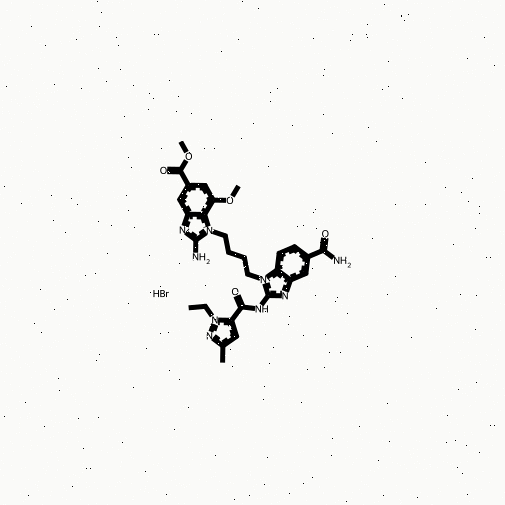 Br.CCn1nc(C)cc1C(=O)Nc1nc2cc(C(N)=O)ccc2n1CCCCn1c(N)nc2cc(C(=O)OC)cc(OC)c21